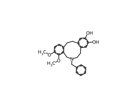 COc1ccc2c(c1OC)CN(Cc1ccccc1)CCc1cc(O)c(O)cc1CC2